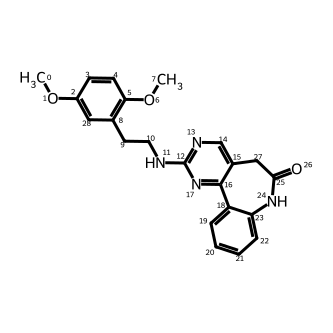 COc1ccc(OC)c(CCNc2ncc3c(n2)-c2ccccc2NC(=O)C3)c1